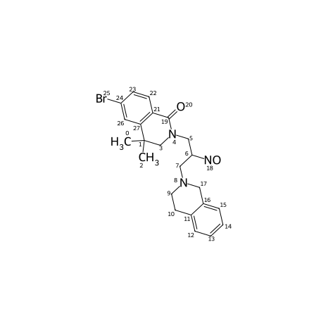 CC1(C)CN(CC(CN2CCc3ccccc3C2)N=O)C(=O)c2ccc(Br)cc21